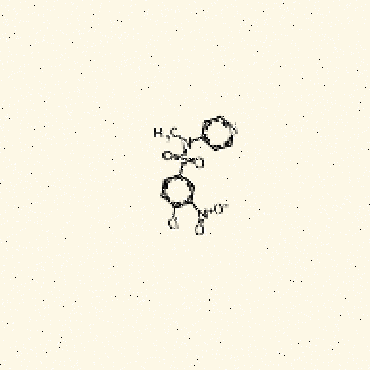 CN(c1ccncc1)S(=O)(=O)c1ccc(Cl)c([N+](=O)[O-])c1